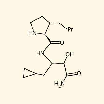 CC(C)C[C@H]1CCN[C@@H]1C(=O)NC(CC1CC1)C(O)C(N)=O